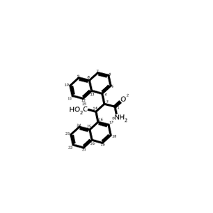 NC(=O)C(c1cccc2ccccc12)C(C(=O)O)c1cccc2ccccc12